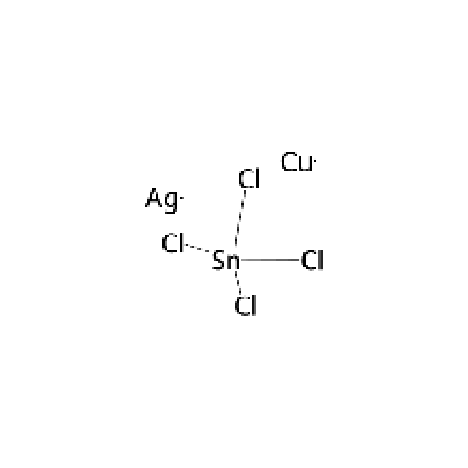 [Ag].[Cl][Sn]([Cl])([Cl])[Cl].[Cu]